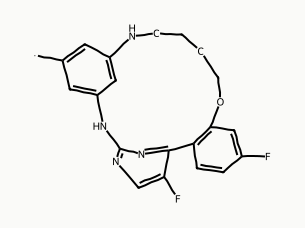 [CH2]c1cc2cc(c1)Nc1ncc(F)c(n1)-c1ccc(F)cc1OCCCCN2